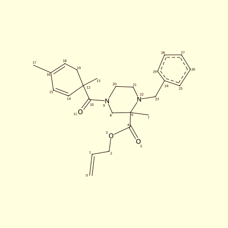 C=CCOC(=O)C1(C)CN(C(=O)C2(C)C=CC(C)=CC2)CCN1Cc1ccccc1